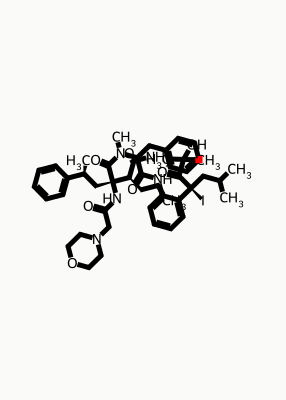 CCC[C@H](C(N)=O)[C@](C[C@H](C)c1ccccc1)(NC(=O)CN1CCOCC1)C(=O)N(C)C(Cc1ccccc1)C(=O)Nc1ccccc1[C@@](I)(CC(C)C)C(=O)C(C)(C)O